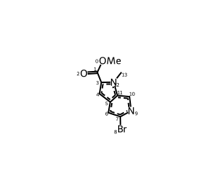 COC(=O)c1cc2cc(Br)ncc2n1C